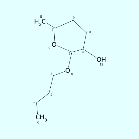 CCCCOC1OC(C)CCC1O